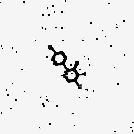 O=c1c(I)c(Cl)cnn1-c1ccc(Cl)cc1